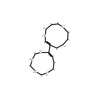 C1=C(C2=CCCCCCCCCC2)CCCCCCCCC1